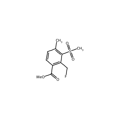 COC(=O)c1ccc(C)c(S(C)(=O)=O)c1CF